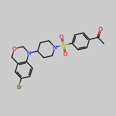 CC(=O)c1ccc(S(=O)(=O)N2CCC(N3COCc4cc(Br)ccc43)CC2)cc1